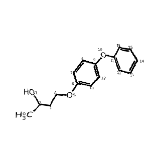 CC(O)CCOc1ccc(Oc2ccccc2)cc1